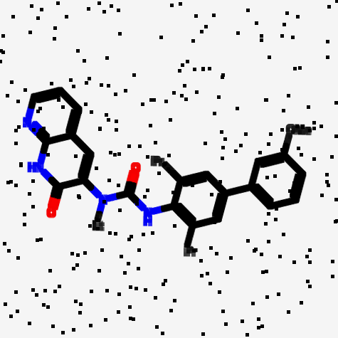 CCN(C(=O)Nc1c(C(C)C)cc(-c2cccc(OC)c2)cc1C(C)C)c1cc2cccnc2[nH]c1=O